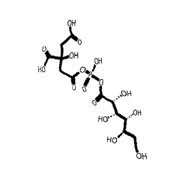 O=C(O)CC(O)(CC(=O)OP(=O)(O)OC(=O)[C@H](O)[C@@H](O)[C@H](O)[C@H](O)CO)C(=O)O